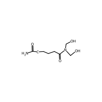 NC(=O)CCCCC(=O)N(CO)CO